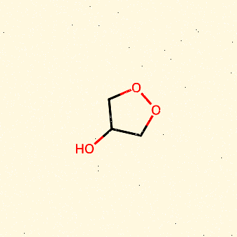 OC1COOC1